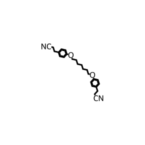 N#CCCc1ccc(OCCCCCCCOc2ccc(CCC#N)cc2)cc1